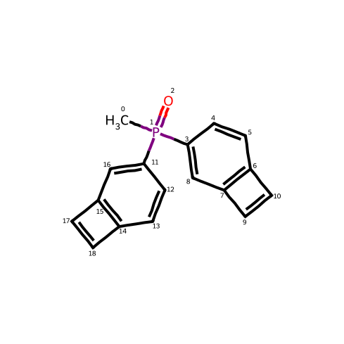 CP(=O)(c1ccc2c(c1)C=C2)c1ccc2c(c1)C=C2